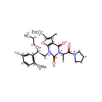 CCOC(=O)c1sc2c(c1C)c(=O)n(C(C)C(=O)N1CCCC1)c(=O)n2C[C@H](OCCC#N)c1cc(F)ccc1OC